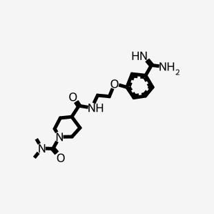 CN(C)C(=O)N1CCC(C(=O)NCCOc2cccc(C(=N)N)c2)CC1